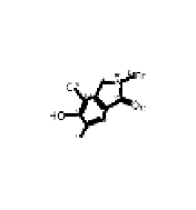 Cc1cc2c(c(Cl)c1O)CN(C(C)C)C2=O